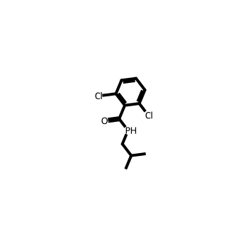 CC(C)CPC(=O)c1c(Cl)cccc1Cl